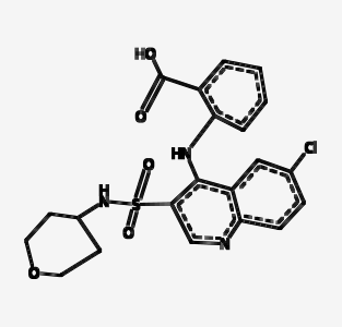 O=C(O)c1ccccc1Nc1c(S(=O)(=O)NC2CCOCC2)cnc2ccc(Cl)cc12